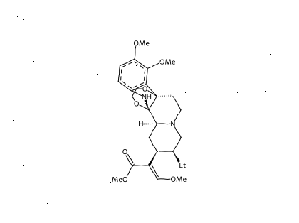 CC[C@@H]1CN2CC[C@@]34OCCO[C@@]3(Nc3ccc(OC)c(OC)c34)[C@@H]2C[C@@H]1/C(=C\OC)C(=O)OC